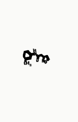 Cc1cccc(NC(=O)Cc2ccon2)c1